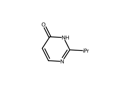 CC(C)c1nccc(=O)[nH]1